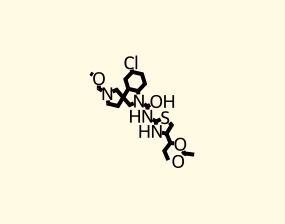 CCC(OC(C)=O)C1CSC(NC(O)N2CC3(CCN(COC)C3)C3CC(Cl)CCC32)N1